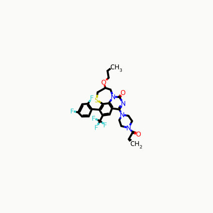 C=CC(=O)N1CCN(c2nc(=O)n3c4c(c(-c5ccc(F)cc5F)c(C(F)(F)F)cc24)SCC(OCCC)C3)CC1